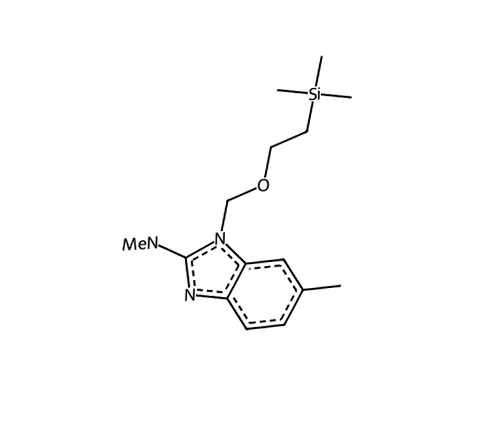 CNc1nc2ccc(C)cc2n1COCC[Si](C)(C)C